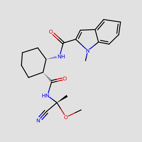 CO[C@](C)(C#N)NC(=O)[C@@H]1CCCC[C@@H]1NC(=O)c1cc2ccccc2n1C